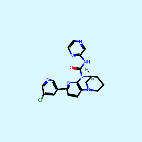 O=C(Nc1cnccn1)N1c2nc(-c3cncc(Cl)c3)ccc2N2CCC[C@H]1C2